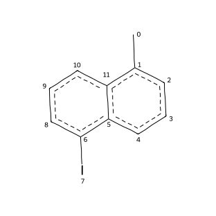 Cc1cccc2c(I)cccc12